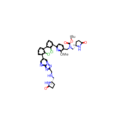 COc1nc(-c2cccc(-c3cccc(-c4cnc5nc(CNC[C@@H]6CCC(=O)N6)nn5c4)c3Cl)c2Cl)ccc1CN(C[C@@H]1CCC(=O)N1)C(=O)OC(C)(C)C